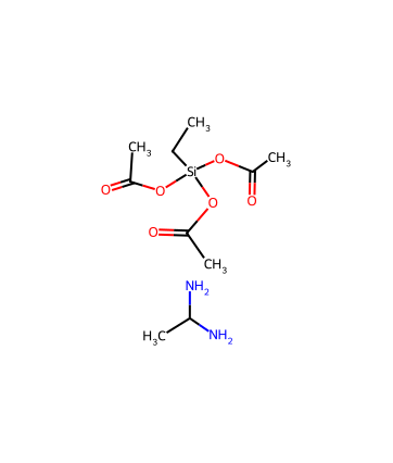 CC(N)N.CC[Si](OC(C)=O)(OC(C)=O)OC(C)=O